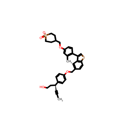 CC#C[C@@H](CCO)c1ccc(OCc2ccc3scc(-c4ccc(OCC5CCS(=O)(=O)CC5)cc4C)c3c2)cc1